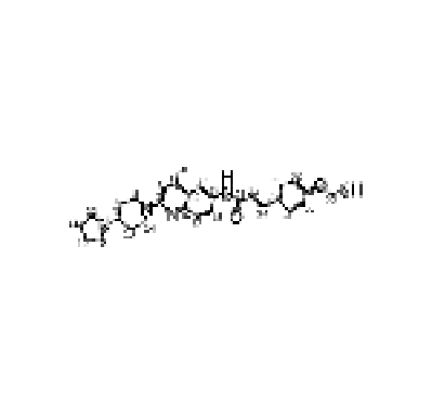 Cc1cc(N2CCC(N3CCCC3)CC2)nc2ccc(NC(=O)C=Cc3ccc(OCS)cc3)cc12